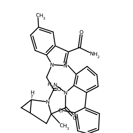 Cc1ccc2c(c1)c(C(N)=O)nn2CC(=O)N1[C@@H]2CC2CC1(C)C(=O)N(N)c1c(F)cccc1-c1ccccc1Cl